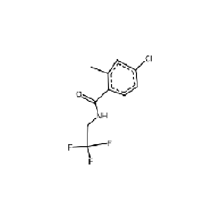 Cc1cc(Cl)ccc1C(=O)NCC(F)(F)F